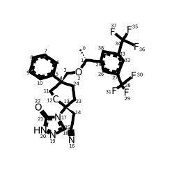 C[C@@H](OC[C@]1(c2ccccc2)CC[C@@](CC#N)(n2cn[nH]c2=O)CC1)c1cc(C(F)(F)F)cc(C(F)(F)F)c1